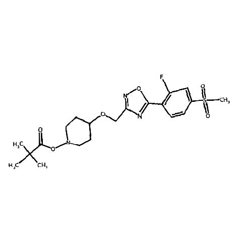 CC(C)(C)C(=O)ON1CCC(OCc2noc(-c3ccc(S(C)(=O)=O)cc3F)n2)CC1